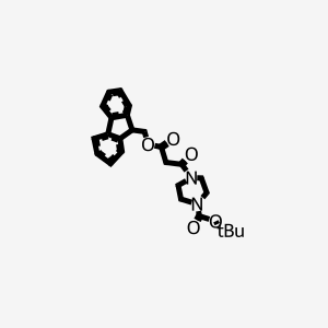 CC(C)(C)OC(=O)N1CCN(C(=O)CC(=O)OCC2c3ccccc3-c3ccccc32)CC1